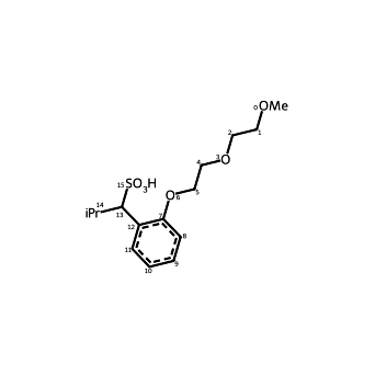 COCCOCCOc1ccccc1C(C(C)C)S(=O)(=O)O